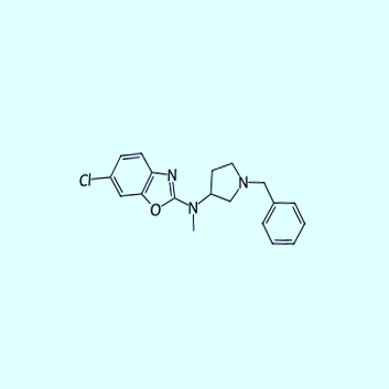 CN(c1nc2ccc(Cl)cc2o1)C1CCN(Cc2ccccc2)C1